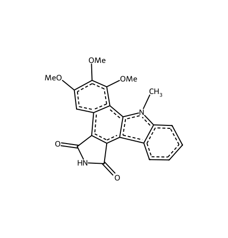 COc1cc2c3c(c4c5ccccc5n(C)c4c2c(OC)c1OC)C(=O)NC3=O